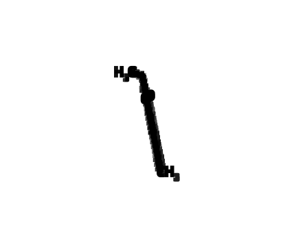 CCCC/C=C\CCCCCCCC(=O)OCCCCCCCCCCCCCCCCCCCCCCCCCCCCCCC